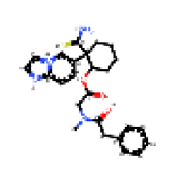 CN(CC(=O)OC1CCCCC1(C(N)=S)c1ccc2nccn2c1)C(=O)Cc1ccccc1